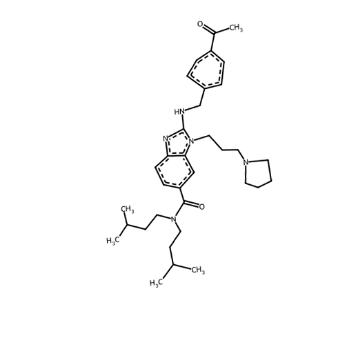 CC(=O)c1ccc(CNc2nc3ccc(C(=O)N(CCC(C)C)CCC(C)C)cc3n2CCCN2CCCC2)cc1